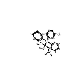 COC(C=C(C)C)(OC)[P+](c1ccccc1)(c1ccccc1)c1ccccc1.[Cl-]